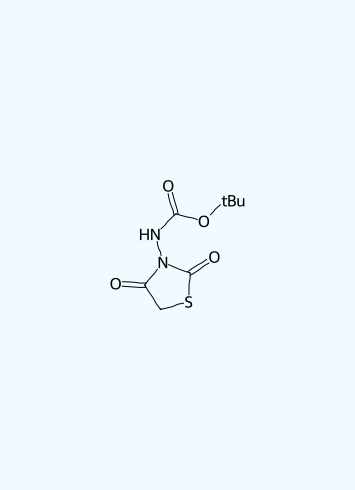 CC(C)(C)OC(=O)NN1C(=O)CSC1=O